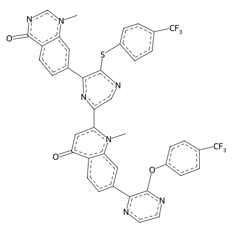 Cn1cnc(=O)c2ccc(-c3nc(-c4cc(=O)c5ccc(-c6nccnc6Oc6ccc(C(F)(F)F)cc6)cc5n4C)cnc3Sc3ccc(C(F)(F)F)cc3)cc21